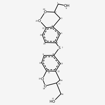 OCC1Cc2cc(Sc3ccc4c(c3)CC(CO)OO4)ccc2OO1